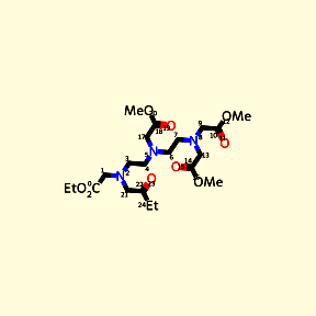 CCOC(=O)CN(CCN(CCN(CC(=O)OC)CC(=O)OC)CC(=O)OC)CC(=O)CC